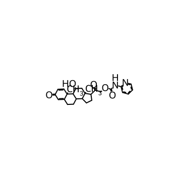 CC12C=CC(=O)C=C1CCC1C2[C@@H](O)CC2(C)C(C(=O)COC(=O)Nc3ccccn3)CCC12